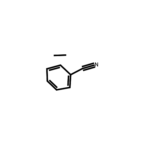 CC.N#Cc1ccccc1